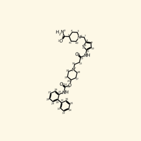 NC(=O)C1CCN(Cc2ccc(NC(=O)CCN3CCC(OC(=O)Nc4ccccc4-c4ccccc4)CC3)s2)CC1